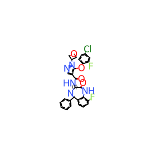 O=C(N[C@H]1N=C(c2ccccc2)c2cccc(F)c2NC1=O)c1cnn(C2COC2)c1Oc1ccc(Cl)cc1F